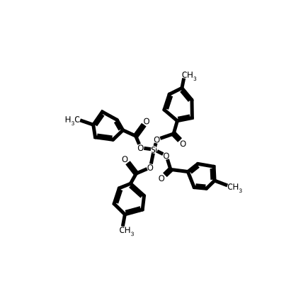 Cc1ccc(C(=O)O[Si](OC(=O)c2ccc(C)cc2)(OC(=O)c2ccc(C)cc2)OC(=O)c2ccc(C)cc2)cc1